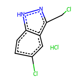 Cl.ClCc1n[nH]c2ccc(Cl)cc12